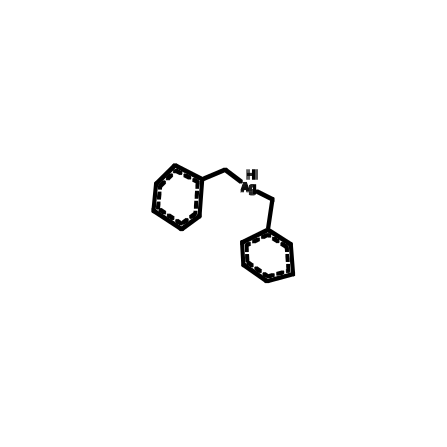 I.c1ccc([CH2][Ag][CH2]c2ccccc2)cc1